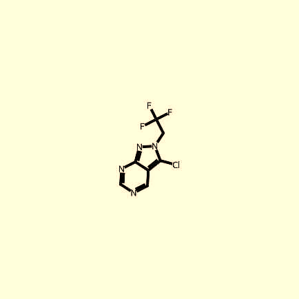 FC(F)(F)Cn1nc2ncncc2c1Cl